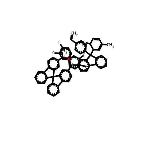 C=Cc1ccc(C2(C3C=C(C)C=CC3C)c3ccccc3-c3ccc(N(c4ccc(F)c(F)c4)c4ccc5c(c4)C4(c6ccccc6-c6ccc(N(C)c7ccc(F)c(F)c7)cc64)c4ccccc4-5)cc32)cc1